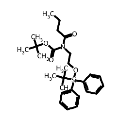 CCCC(=O)N(CCO[Si](c1ccccc1)(c1ccccc1)C(C)(C)C)C(=O)OC(C)(C)C